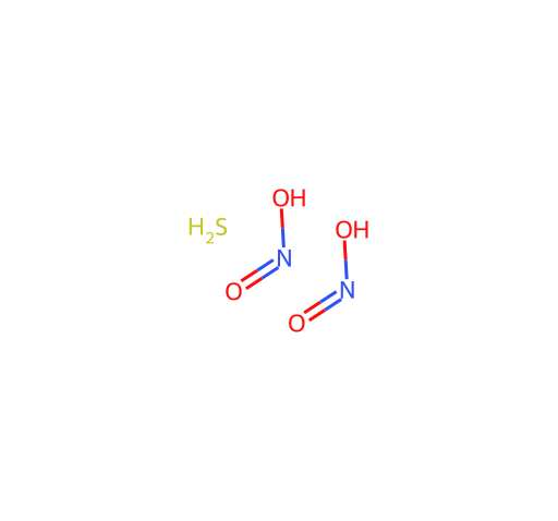 O=NO.O=NO.S